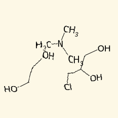 CN(C)C.OCC(O)CCl.OCCO